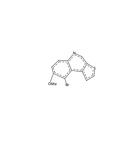 COc1ccc2ncc3sccc3c2c1Br